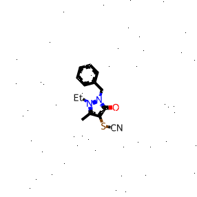 CCn1c(C)c(SC#N)c(=O)n1Cc1ccccc1